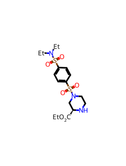 CCOC(=O)[C@H]1CN(S(=O)(=O)c2ccc(S(=O)(=O)N(CC)CC)cc2)CCN1